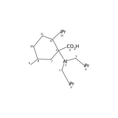 CC(C)[CH2][Al]([CH2]C(C)C)[C]1(C(=O)O)CC(C)CCC1C(C)C